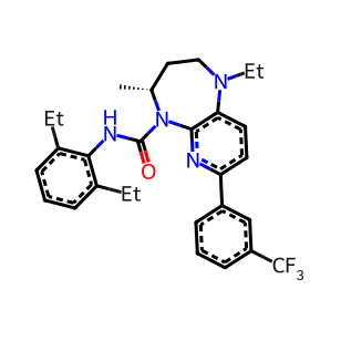 CCc1cccc(CC)c1NC(=O)N1c2nc(-c3cccc(C(F)(F)F)c3)ccc2N(CC)CC[C@H]1C